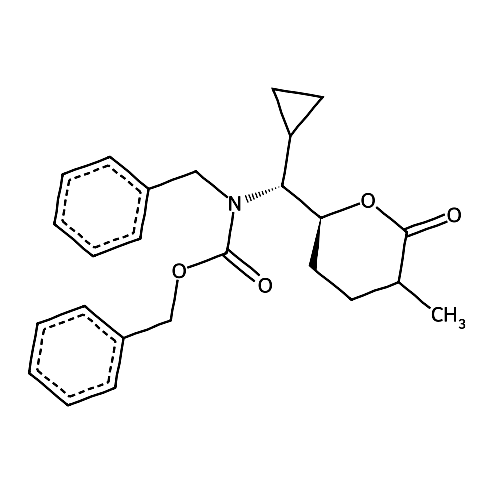 CC1CC[C@@H]([C@@H](C2CC2)N(Cc2ccccc2)C(=O)OCc2ccccc2)OC1=O